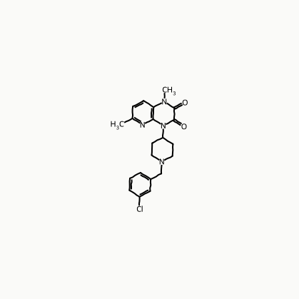 Cc1ccc2c(n1)n(C1CCN(Cc3cccc(Cl)c3)CC1)c(=O)c(=O)n2C